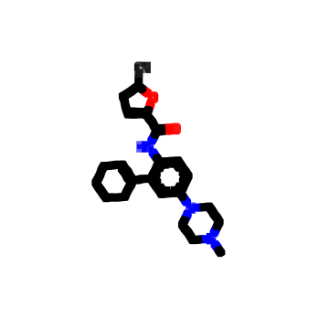 CN1CCN(c2ccc(NC(=O)C3=CCC(C#N)O3)c(C3=CCCCC3)c2)CC1